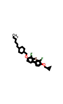 CCCCCCC1CCC(COc2ccc3c(sc4c(F)c(OCC5CC5)ccc43)c2F)CC1